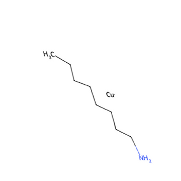 CCCCCCCCN.[Cu]